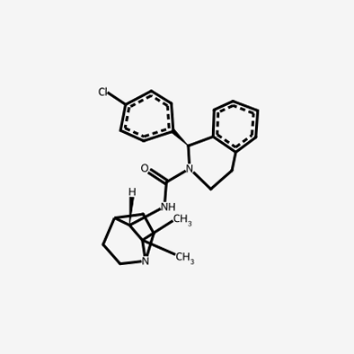 CC1(C)[C@@H](NC(=O)N2CCc3ccccc3[C@@H]2c2ccc(Cl)cc2)C2CCN1CC2